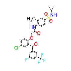 Cc1cc(S(=O)(=O)NC2CC2)ccc1NC(=O)COc1ccc(Cl)cc1C(=O)c1cc(F)cc(C(F)(F)F)c1